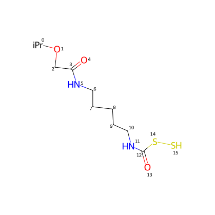 CC(C)OCC(=O)NCCCCCNC(=O)SS